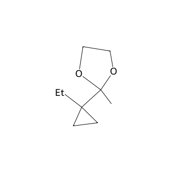 CCC1(C2(C)OCCO2)CC1